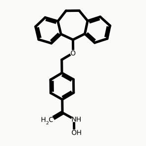 C=C(NO)c1ccc(COC2c3ccccc3CCc3ccccc32)cc1